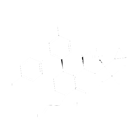 C=CC[C@@]1(C)C[C@H](c2cccc(Cl)c2)[C@@H](c2ccc(Cl)cc2)N([C@@H](CC)C[C@](O)(C2CC2)C(F)(F)F)C1=O